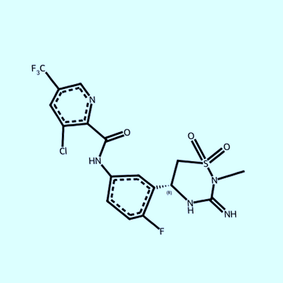 CN1C(=N)N[C@H](c2cc(NC(=O)c3ncc(C(F)(F)F)cc3Cl)ccc2F)CS1(=O)=O